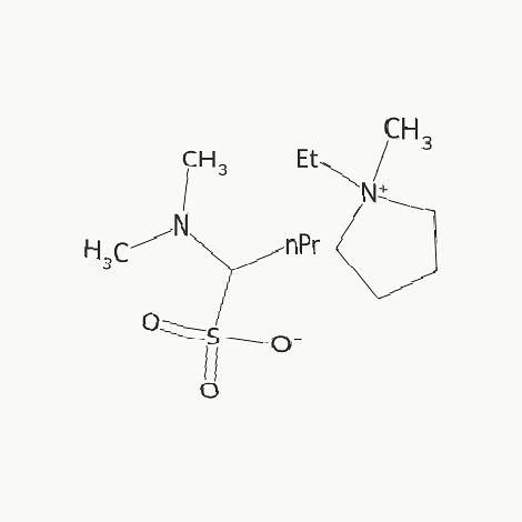 CCCC(N(C)C)S(=O)(=O)[O-].CC[N+]1(C)CCCC1